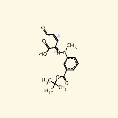 CN(/N=C(\C=C/C=O)C(=O)O)c1cccc(C(=O)OC(C)(C)C)c1